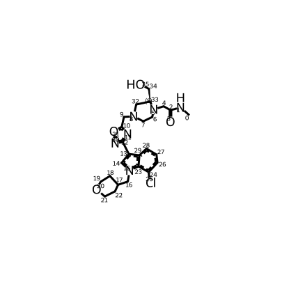 CNC(=O)CN1CCN(Cc2nc(-c3cn(CC4CCOCC4)c4c(Cl)cccc34)no2)C[C@H]1CO